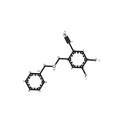 N#Cc1cc(F)c(F)cc1COCc1ccccc1